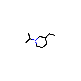 CCC1CCCN(C(C)C)C1